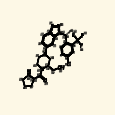 C[C@H](c1ccc(Cl)cc1C(F)(F)F)n1nnc2ccc(N3CCN(C(=O)[C@H]4CCCN4)[C@H](CO)C3)cc21